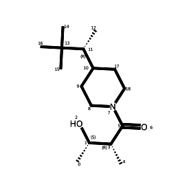 C[C@H](O)[C@@H](C)C(=O)N1CCC([C@@H](C)C(C)(C)C)CC1